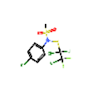 CS(=O)(=O)N(SC(Cl)(Cl)C(F)(F)Cl)c1ccc(Cl)cc1